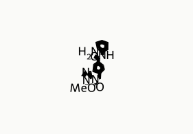 COC(=O)N(Cc1ccc(C(=O)Nc2ccccc2N)cc1)c1cncn1C